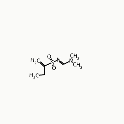 C=C(CC)S(=O)(=O)/N=C/N(C)C